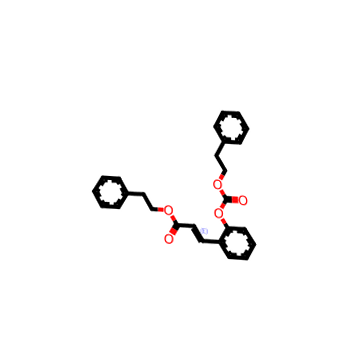 O=C(/C=C/c1ccccc1OC(=O)OCCc1ccccc1)OCCc1ccccc1